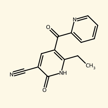 CCc1[nH]c(=O)c(C#N)cc1C(=O)c1ccccn1